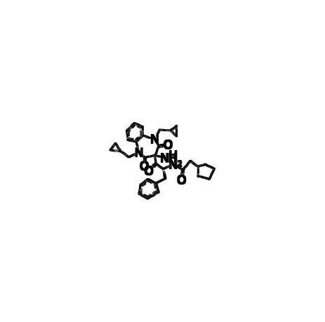 NC1(C(=O)[C@H](Cc2ccccc2)NC(=O)CC2CCCC2)C(=O)N(CC2CC2)c2ccccc2N(CC2CC2)C1=O